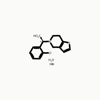 Br.O.O=C(O)[C@H](c1ccccc1Cl)N1CCc2sccc2C1